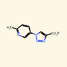 Cc1ccc(-n2cc(C(=O)O)nn2)cn1